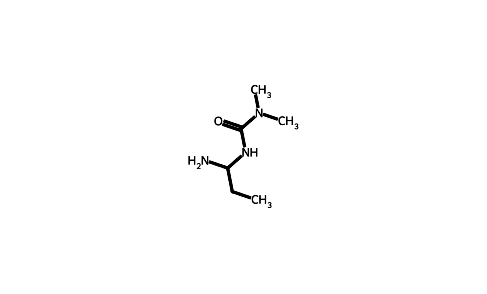 CCC(N)NC(=O)N(C)C